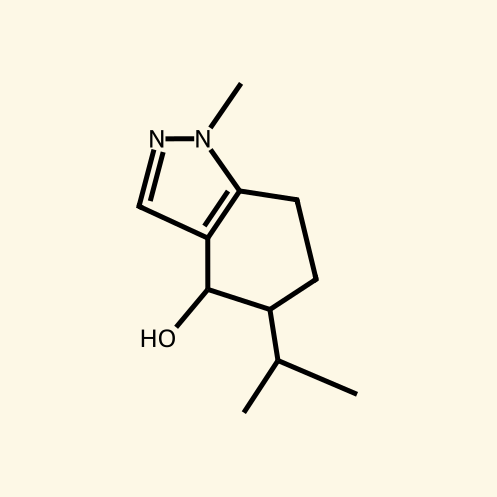 CC(C)C1CCc2c(cnn2C)C1O